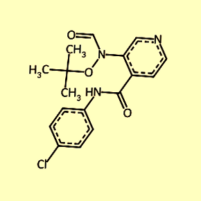 CC(C)(C)ON(C=O)c1cnccc1C(=O)Nc1ccc(Cl)cc1